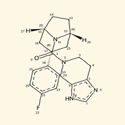 O=C(N1CCc2nc[nH]c2C1)N1[C@@H]2CC[C@H]1C[C@@H](c1ccc(F)cc1)C2